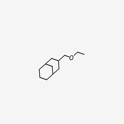 CCOCC1CC2CCCC(C2)C1